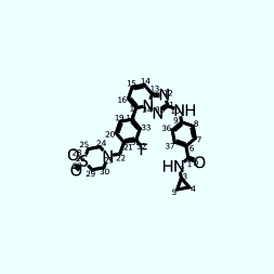 O=C(NC1CC1)c1ccc(Nc2nc3cccc(-c4ccc(CN5CCS(=O)(=O)CC5)c(F)c4)n3n2)cc1